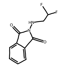 O=C1c2ccccc2C(=O)N1NCC(F)F